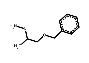 CC(COCc1ccccc1)NN